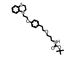 CC(C)(C)OC(=O)NCCCOCCc1ccc(OCCN2CCSc3ccccc32)cc1